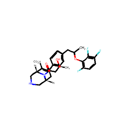 CC(Cc1ccc(C2=C(C(=O)O)[C@H]3CNC[C@@H](C2)N3C(=O)C[C@H](C)O)cc1)Oc1c(F)ccc(F)c1F